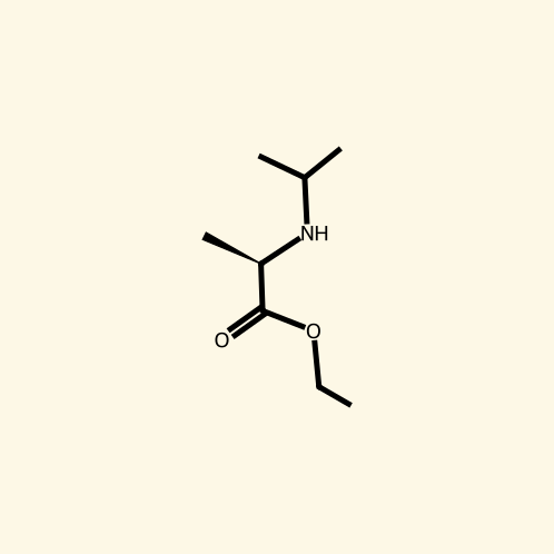 CCOC(=O)[C@@H](C)NC(C)C